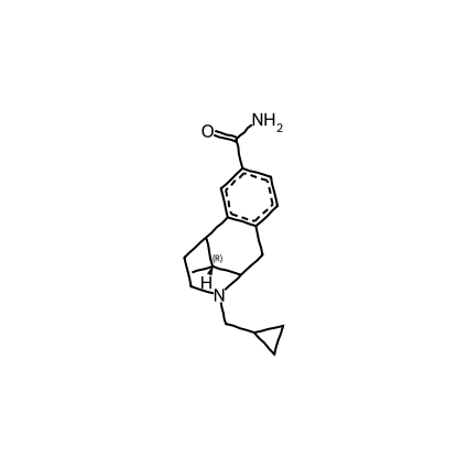 C[C@@H]1C2CCN(CC3CC3)C1Cc1ccc(C(N)=O)cc12